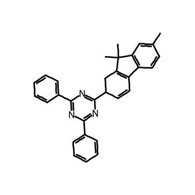 Cc1ccc2c(c1)C(C)(C)C1=C2C=CC(c2nc(-c3ccccc3)nc(-c3ccccc3)n2)C1